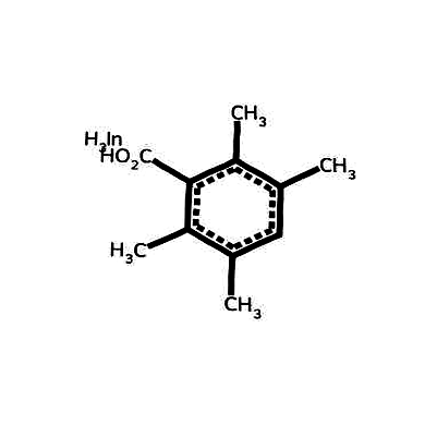 Cc1cc(C)c(C)c(C(=O)O)c1C.[InH3]